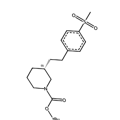 CC(C)(C)OC(=O)N1CCC[C@H](CCc2ccc(S(C)(=O)=O)cc2)C1